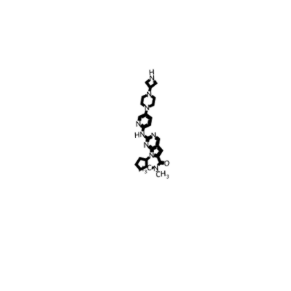 CN(C)C(=O)c1cc2cnc(Nc3ccc(N4CCN(C5CNC5)CC4)cn3)nc2n1C1CCCC1